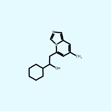 Cc1cc(CC(O)C2CCCCC2)n2cncc2c1